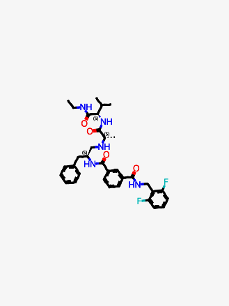 CCNC(=O)[C@@H](NC(=O)[C@H](C)NC[C@H](Cc1ccccc1)NC(=O)c1cccc(C(=O)NCc2c(F)cccc2F)c1)C(C)C